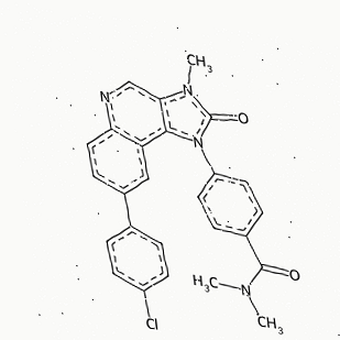 CN(C)C(=O)c1ccc(-n2c(=O)n(C)c3cnc4ccc(-c5ccc(Cl)cc5)cc4c32)cc1